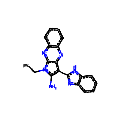 CC(C)Cn1c(N)c(-c2nc3ccccc3[nH]2)c2nc3ccccc3nc21